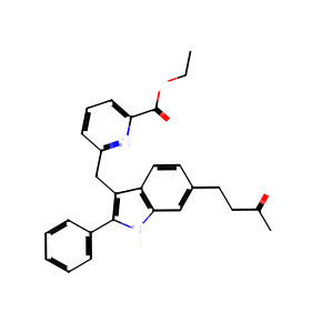 CCOC(=O)c1cccc(Cc2c(-c3ccccc3)[nH]c3cc(CCC(C)=O)ccc23)n1